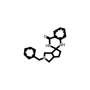 O=C1NC2(CCC3CN(Cc4ccccc4)CC32)Nc2ccccc21